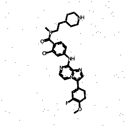 COC1=C(F)C=C(c2cnc3c(Nc4ccc(C(=O)N(C)CCC5CCNCC5)c(Cl)c4)nccn23)CC1